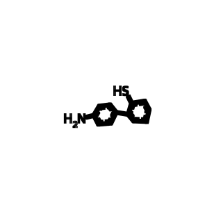 Nc1ccc(-c2ccccc2S)cc1